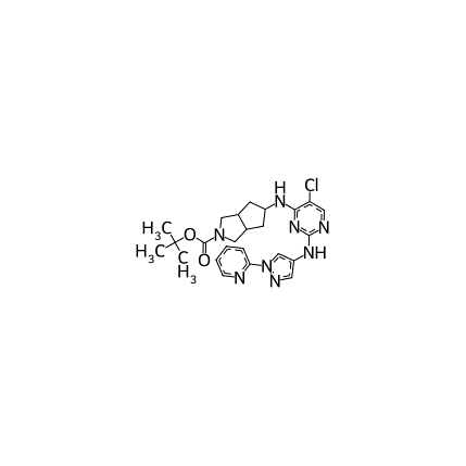 CC(C)(C)OC(=O)N1CC2CC(Nc3nc(Nc4cnn(-c5ccccn5)c4)ncc3Cl)CC2C1